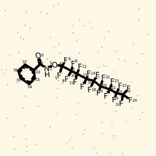 O=C(NOC(F)(F)C(F)(F)C(F)(F)C(F)(F)C(F)(F)C(F)(F)C(F)(F)C(F)(F)C(F)(F)F)c1ccccc1